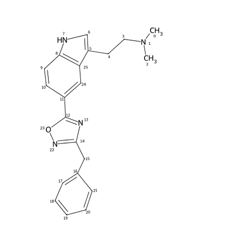 CN(C)CCc1c[nH]c2ccc(-c3nc(Cc4ccccc4)no3)cc12